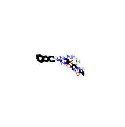 Cn1c(N2CCC3(CC2)Cc2ccccc2C3)nc(N)c(Sc2ccnc(NC(=O)C3CC3)c2Cl)c1=O